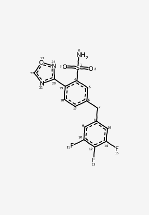 NS(=O)(=O)c1cc(Cc2cc(F)c(F)c(F)c2)ccc1-c1ncon1